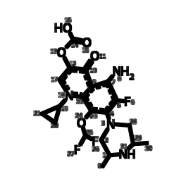 CC1CN(c2c(F)c(N)c3c(=O)c(OC(=O)O)cn(C4CC4)c3c2OC(F)F)CC(C)N1